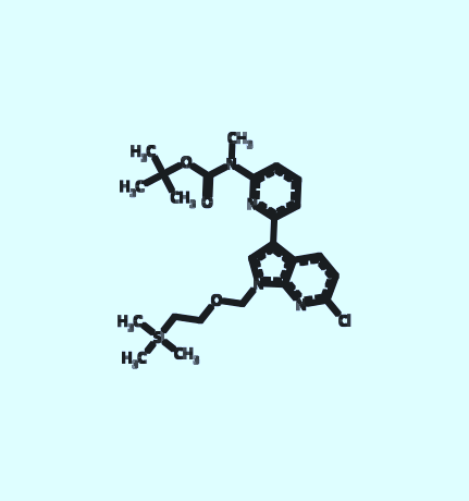 CN(C(=O)OC(C)(C)C)c1cccc(-c2cn(COCC[Si](C)(C)C)c3nc(Cl)ccc23)n1